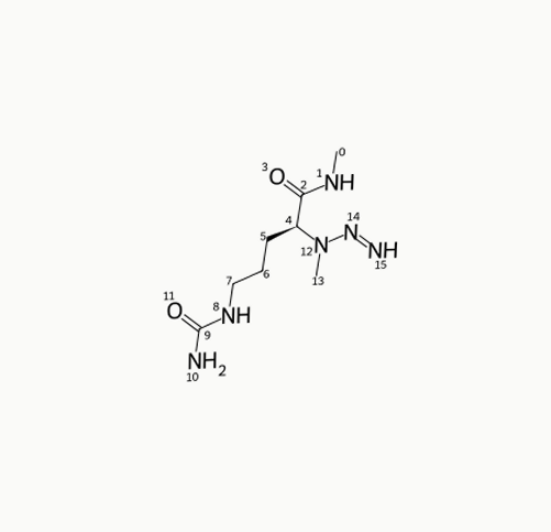 CNC(=O)[C@H](CCCNC(N)=O)N(C)N=N